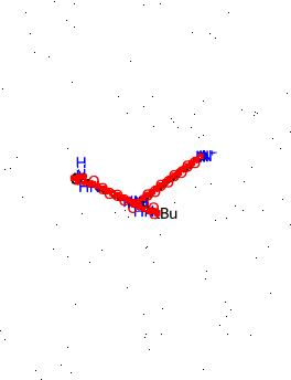 CC(C)(C)OC(=O)NCCCC[C@@H](NC(=O)CCOCCOCCOCCOCCOCCOCCOCCOCCN=[N+]=[N-])C(=O)NCCOCCOCCOCCOCCNC(=O)CCCc1c[nH]c2ccccc12